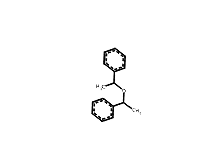 CC(OC(C)c1ccccc1)c1ccccc1